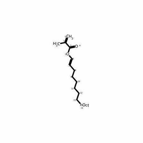 C=C(C)C(=O)OC=CCCCCCCCCCCCCCC